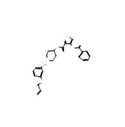 C=CC(=O)Nc1cccc(S(=O)(=O)N2CCC(NC(=O)c3n[nH]cc3NC(=O)c3ccccc3)CC2)c1